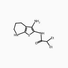 CCC(CC)C(=O)Nc1sc2c(c1N)CCCN2